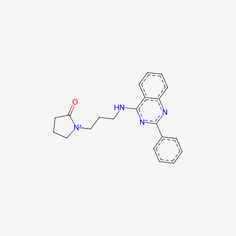 O=C1CCC[N+]1CCCNc1nc(-c2ccccc2)nc2ccccc12